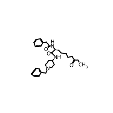 CCC(=O)CCCCC[C@H](NC(=O)Cc1ccccc1)C(=O)NC1CCN(Cc2ccccc2)CC1